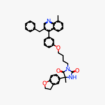 Cc1cccc2c(-c3cccc(OCCCCN4C(=O)NC(C)(c5ccc6c(c5)CCO6)C4=O)c3)c(Cc3ccccc3)cnc12